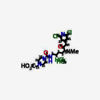 CN[C@@H](CCCCNC(=O)N1CCN(CC(=O)O)CC1)C(=O)Cc1cc(Cl)nc(Cl)c1.Cl.Cl